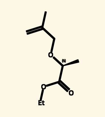 C=C(C)CO[C@@H](C)C(=O)OCC